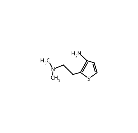 CN(C)CCc1sccc1N